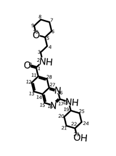 O=C(NCCC1CCCCO1)c1ccc2cnc(NC3CCC(O)CC3)nc2c1